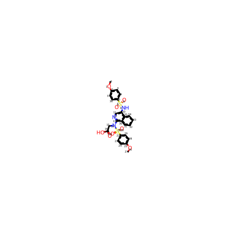 COc1ccc(S(=O)(=O)Nc2cnc(N(CC(=O)O)S(=O)(=O)c3ccc(OC)cc3)c3ccccc23)cc1